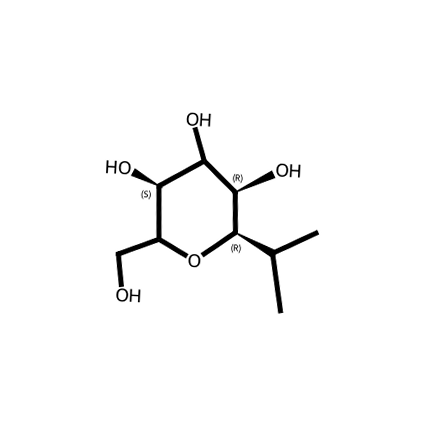 CC(C)[C@H]1OC(CO)[C@@H](O)C(O)[C@H]1O